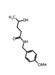 COc1ccc(CNC(=O)CCC(C)O)cc1